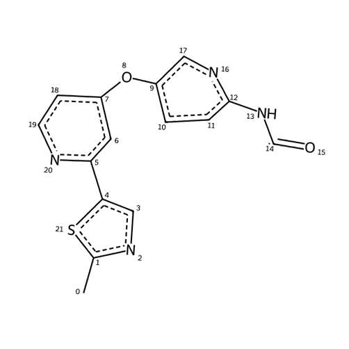 Cc1ncc(-c2cc(Oc3ccc(N[C]=O)nc3)ccn2)s1